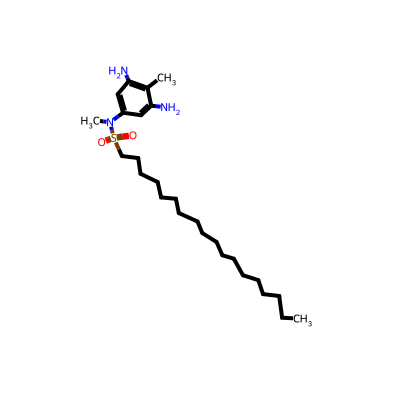 CCCCCCCCCCCCCCCCCCS(=O)(=O)N(C)c1cc(N)c(C)c(N)c1